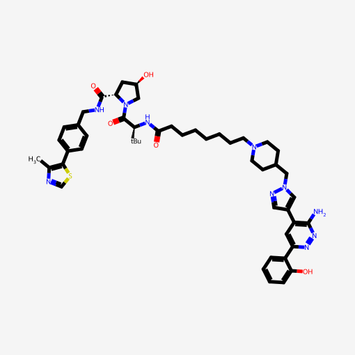 Cc1ncsc1-c1ccc(CNC(=O)[C@@H]2C[C@@H](O)CN2C(=O)[C@@H](NC(=O)CCCCCCCN2CCC(Cn3cc(-c4cc(-c5ccccc5O)nnc4N)cn3)CC2)C(C)(C)C)cc1